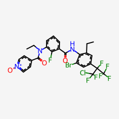 CCc1cc(C(F)(C(F)(F)F)C(F)(F)Cl)cc(Br)c1NC(=O)c1cccc(N(CC)C(=O)c2cc[n+]([O-])cc2)c1F